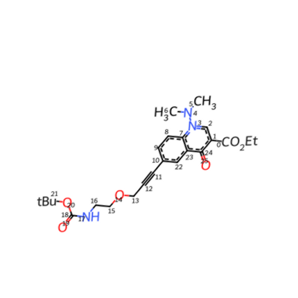 CCOC(=O)c1cn(N(C)C)c2ccc(C#CCOCCNC(=O)OC(C)(C)C)cc2c1=O